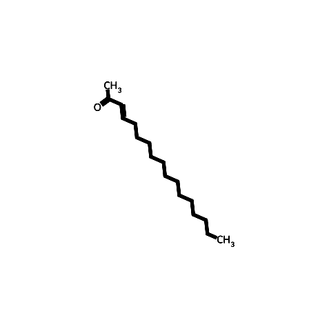 CCCCCCCCCCCCCC=CC(C)=O